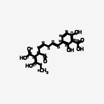 CC/C(O)=C(/C(=O)O)C(/C=C\C/C=C/c1ccc(O)c(C(=O)O)c1O)N=O